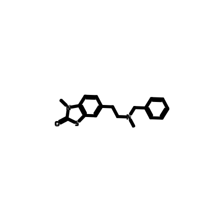 CN(CCc1ccc2c(c1)sc(=O)n2C)Cc1ccccc1